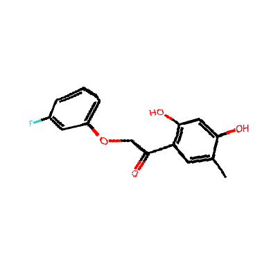 Cc1cc(C(=O)COc2cccc(F)c2)c(O)cc1O